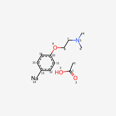 CC(=O)O.CN(C)CCOc1cc[c]([Na])cc1